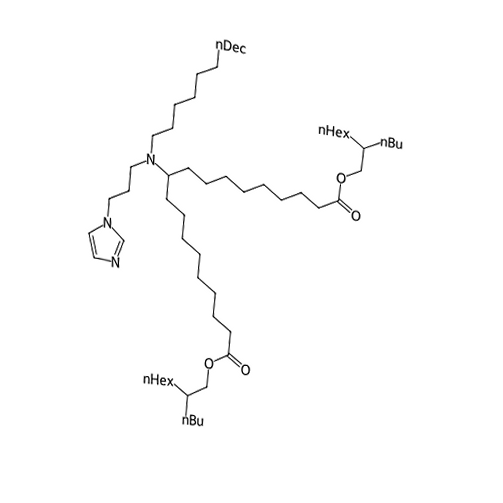 CCCCCCCCCCCCCCCCN(CCCn1ccnc1)C(CCCCCCCCC(=O)OCC(CCCC)CCCCCC)CCCCCCCCC(=O)OCC(CCCC)CCCCCC